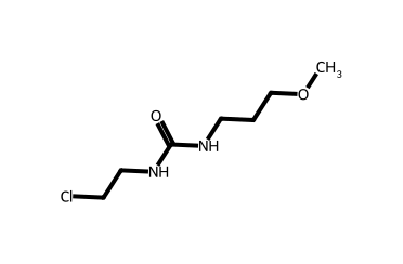 COCCCNC(=O)NCCCl